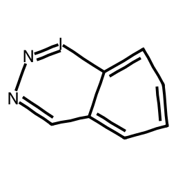 C1=NN=Ic2ccccc21